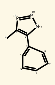 CC1=C(c2ccccc2)[N]P=P1